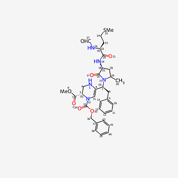 COC(=O)[C@@H]1CNC([C@H](Cc2ccccc2)N2C(=O)[C@@H](NC(=O)[C@H](CCSC)NC=O)CC2C)=CN1C(=O)OCc1ccccc1